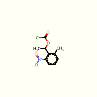 Cc1cccc([N+](=O)[O-])c1C(C)OC(=O)Cl